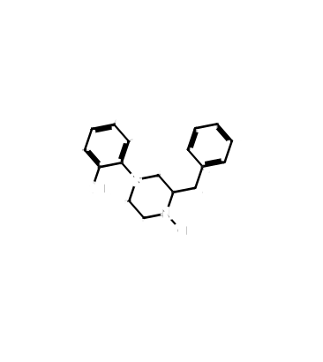 Cc1ccccc1N1CCN(C)C(Cc2ccccc2)C1